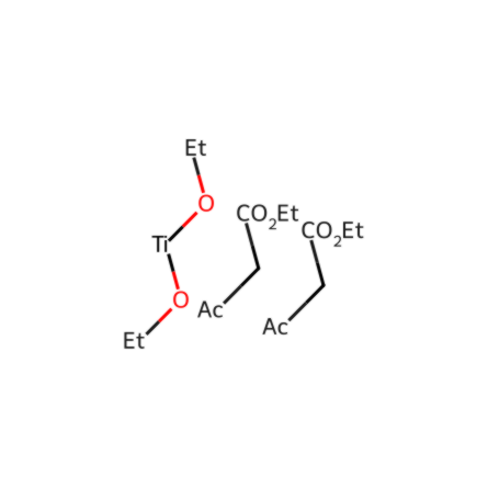 CCOC(=O)CC(C)=O.CCOC(=O)CC(C)=O.CC[O][Ti][O]CC